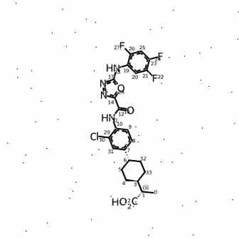 C[C@H](C(=O)O)[C@H]1CC[C@H](c2ccc(NC(=O)c3nnc(Nc4cc(F)c(F)cc4F)o3)c(Cl)c2)CC1